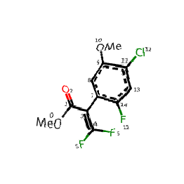 COC(=O)C(=C(F)F)c1cc(OC)c(Cl)cc1F